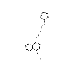 [CH2]CCNCc1ccc(CCCCCCc2ccccc2)c2ccccc12